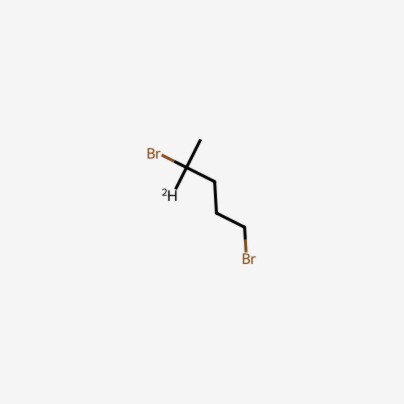 [2H]C(C)(Br)CCCBr